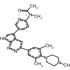 CC(=O)N(C)c1ccc(-c2c[nH]c3nnc(-c4cc(C)c(N5CCN(C)CC5)c(C)c4)cc23)cn1